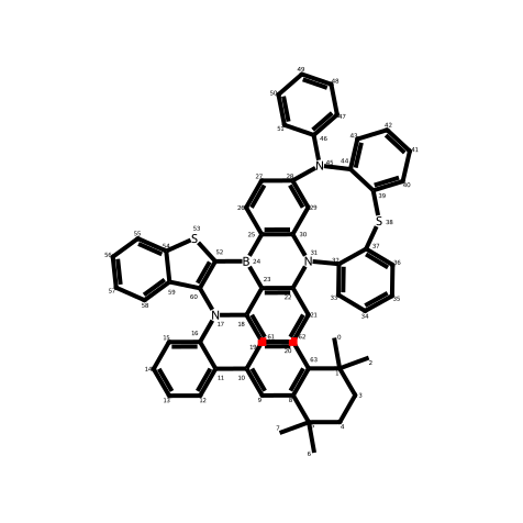 CC1(C)CCC(C)(C)c2cc(-c3ccccc3N3c4cccc5c4B(c4ccc6cc4N5c4ccccc4Sc4ccccc4N6c4ccccc4)c4sc5ccccc5c43)ccc21